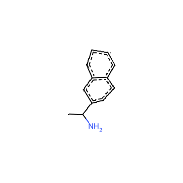 CC(N)c1ccc2c[c]ccc2c1